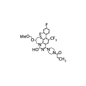 C=CC(=O)N1CCN(C2=NC(O)N3CC(OCOC)CSc4c(-c5ccc(F)cc5F)c(C(F)(F)F)cc2c43)CC1